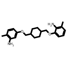 Cc1ccc(OCC2CCC(COc3cccc(C)c3N)CC2)cc1N